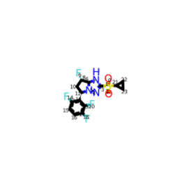 O=S(=O)(C1=NN2C(N1)[C@@H](F)C[C@H]2c1c(F)ccc(F)c1F)C1CC1